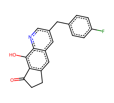 O=C1CCc2cc3cc(Cc4ccc(F)cc4)cnc3c(O)c21